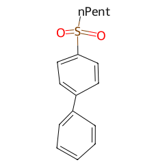 CCCCCS(=O)(=O)c1ccc(-c2ccccc2)cc1